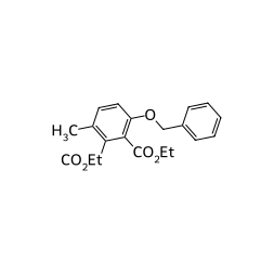 CCOC(=O)c1c(C)ccc(OCc2ccccc2)c1C(=O)OCC